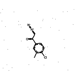 Cc1cc(C(=O)C=[N+]=[N-])ccc1Cl